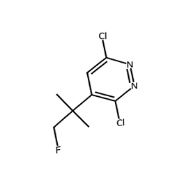 CC(C)(CF)c1cc(Cl)nnc1Cl